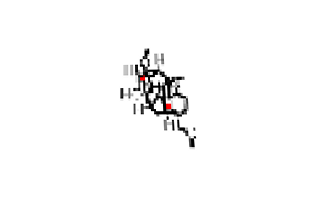 CCN1C[C@]2(COC)CC[C@H](OC)[C@@]34[C@@H]5C[C@H]6[C@H](O)[C@@H]5[C@](O)(C[C@@H]6OC)[C@@H](C[C@H]23)[C@@H]14